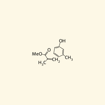 C=C(C)C(=O)OC.Cc1cccc(O)c1